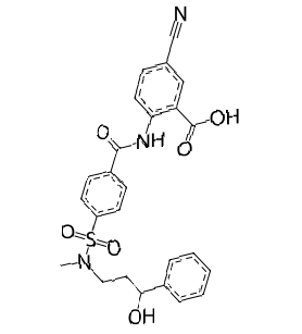 CN(CCC(O)c1ccccc1)S(=O)(=O)c1ccc(C(=O)Nc2ccc(C#N)cc2C(=O)O)cc1